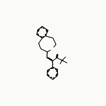 O=C(/C(=C\C1CCCc2ccccc2CC1)c1ccccc1)C(F)(F)F